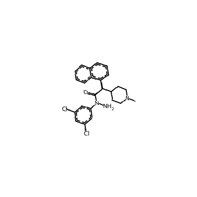 CN1CCC(C(C(=O)N(N)c2cc(Cl)cc(Cl)c2)c2cccc3ccccc23)CC1